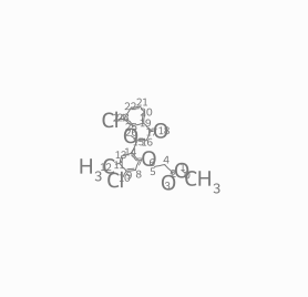 COC(=O)CCOc1cc(Cl)c(C)cc1-c1cc(=O)c2cccc(Cl)c2o1